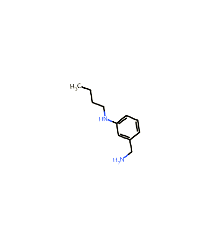 CCCCNc1cccc(CN)c1